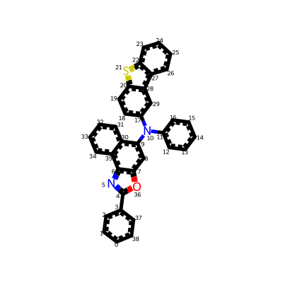 c1ccc(-c2nc3c(cc(N(c4ccccc4)c4ccc5sc6ccccc6c5c4)c4ccccc43)o2)cc1